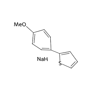 COc1ccc(-c2cccs2)cc1.[NaH]